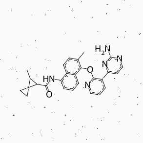 Cc1ccc2c(NC(=O)C3C(C)C34CC4)cccc2c1Oc1ncccc1-c1ccnc(N)n1